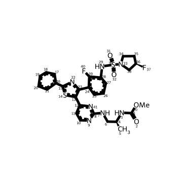 COC(=O)N[C@@H](C)CNc1nccc(-c2sc(-c3ccccc3)nc2-c2cccc(NS(=O)(=O)N3CC[C@@H](F)C3)c2F)n1